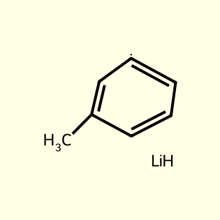 Cc1c[c]ccc1.[LiH]